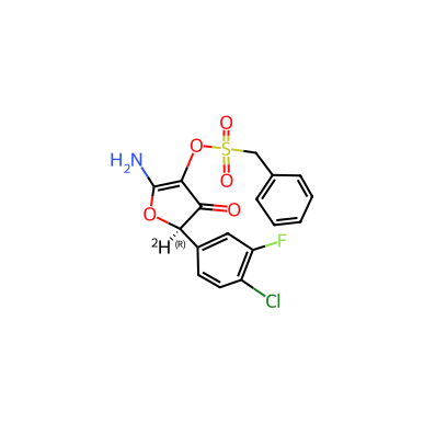 [2H][C@]1(c2ccc(Cl)c(F)c2)OC(N)=C(OS(=O)(=O)Cc2ccccc2)C1=O